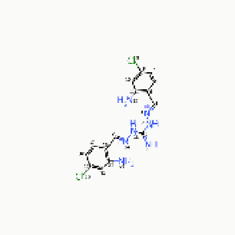 N=C(N/N=C/c1ccc(Cl)cc1N)N/N=C/c1ccc(Cl)cc1N